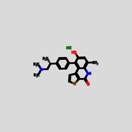 Cc1cc(O)c(-c2ccc([C@@H](C)CN(C)C)cc2)c2c1[nH]c(=O)c1sccc12.Cl